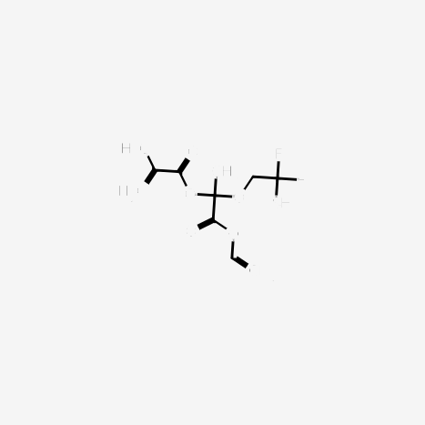 C=COC(=O)C(C)(OCC(F)(F)S)OC(=O)C(=C)C